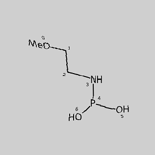 COCCNP(O)O